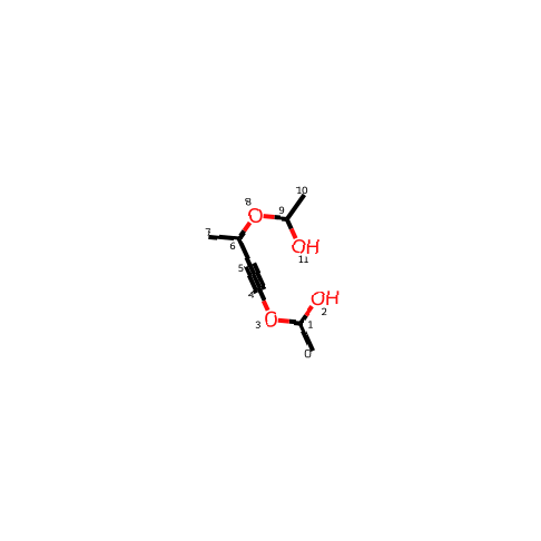 CC(O)OC#CC(C)OC(C)O